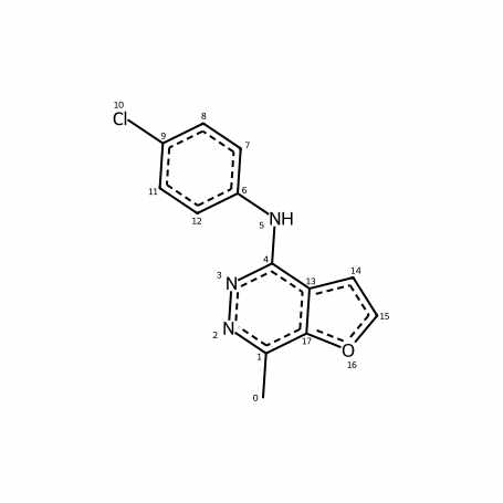 Cc1nnc(Nc2ccc(Cl)cc2)c2ccoc12